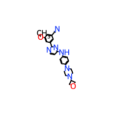 COc1cc(C#N)cc(-c2nccc(Nc3ccc(N4CCN(C5COC5)CC4)cc3)n2)c1